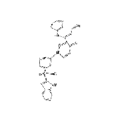 N=C/C=C(\Nc1ccccc1)c1nn(-c2cccc(S(=O)(=O)c3nc4ccccc4[nH]3)c2)ccc1=O